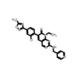 CCn1c(=O)c(-c2ccc(-c3noc(C)n3)cc2Cl)cc2cnc(NCc3ccncc3)nc21